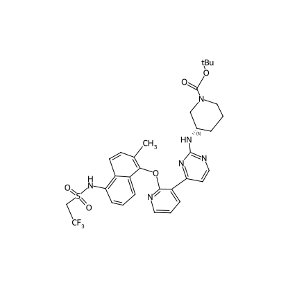 Cc1ccc2c(NS(=O)(=O)CC(F)(F)F)cccc2c1Oc1ncccc1-c1ccnc(N[C@H]2CCCN(C(=O)OC(C)(C)C)C2)n1